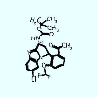 CC(=O)c1cccc(OC(F)F)c1C1C[C@@H](NC(=O)OC(C)(C)C)c2nc3ccc(Cl)cc3n21